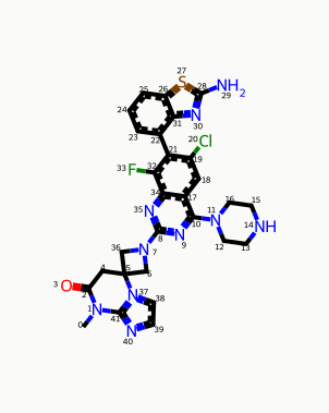 CN1C(=O)CC2(CN(c3nc(N4CCNCC4)c4cc(Cl)c(-c5cccc6sc(N)nc56)c(F)c4n3)C2)n2ccnc21